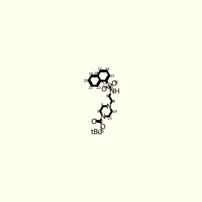 CC(C)(C)OC(=O)N1CCN(CCNS(=O)(=O)c2cccc3ccccc23)CC1